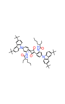 CCCCC(CC)C(=O)NC1=CC(=[N+]2c3ccc(C(C)(C)C)cc3-c3cc(C(C)(C)C)ccc32)C=C/C1=C1\C(=O)C(c2ccc(-n3c4ccc(C(C)(C)C)cc4c4cc(C(C)(C)C)ccc43)cc2NC(=O)C(CC)CCCC)=C1[O-]